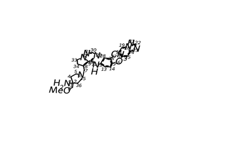 COCC1(N)CCN(CC2=C3C(Nc4ccc(Oc5ccn6ncnc6c5)c(C)c4)=NC=NN3CC2)CC1